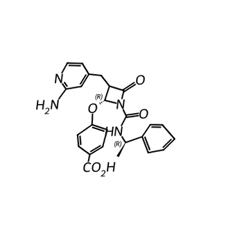 C[C@@H](NC(=O)N1C(=O)C(Cc2ccnc(N)c2)[C@H]1Oc1ccc(C(=O)O)cc1)c1ccccc1